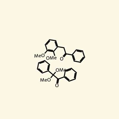 COC(OC)(C(=O)c1ccccc1)c1ccccc1.COc1cccc(CC(=O)c2ccccc2)c1OC